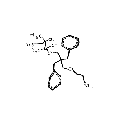 CCCOCC(CO[Si](C)(C)C(C)(C)C)(Cc1ccccc1)Cc1ccccc1